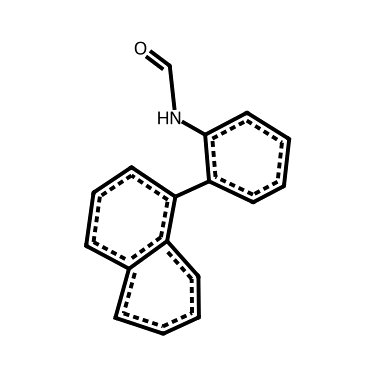 O=CNc1ccccc1-c1cccc2ccccc12